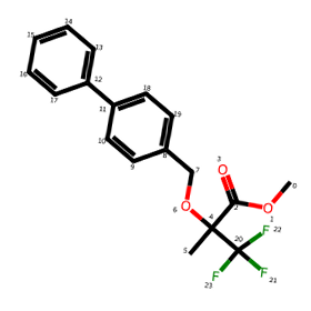 COC(=O)C(C)(OCc1ccc(-c2ccccc2)cc1)C(F)(F)F